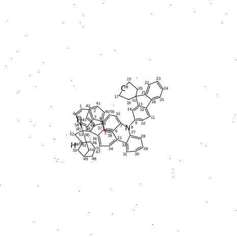 c1ccc(-c2ccc(N(c3ccc4c(c3)C3(CCCCC3)c3ccccc3-4)c3ccccc3-c3ccc4c(c3)-c3ccccc3[C@@]43C4CCC5C[C@H]4C[C@H]3C5)cc2)cc1